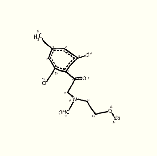 Cc1cc(Cl)c(C(=O)CN(C=O)CCOC(C)(C)C)c(Cl)c1